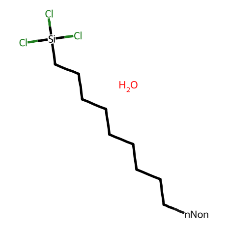 CCCCCCCCCCCCCCCCCC[Si](Cl)(Cl)Cl.O